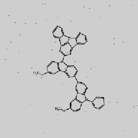 COc1ccc2c(c1)c1cc(-c3ccc4c(c3)c3cc(OC)ccc3n4-c3cc4c5ccccc5n5c6ccccc6c(c3)c45)ccc1n2-c1ccccc1